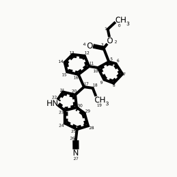 CCOC(=O)c1ccccc1-c1ccccc1C(CC)c1c[nH]c2cc(C#N)ccc12